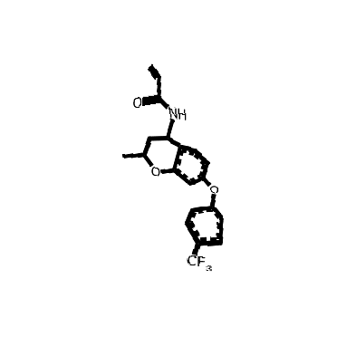 C=CC(=O)NC1CC(C)Oc2cc(Oc3ccc(C(F)(F)F)cc3)ccc21